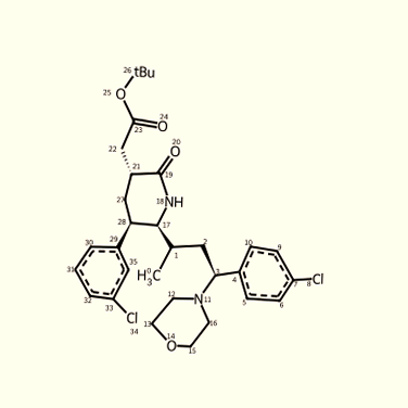 CC(C[C@@H](c1ccc(Cl)cc1)N1CCOCC1)[C@@H]1NC(=O)[C@@H](CC(=O)OC(C)(C)C)C[C@@H]1c1cccc(Cl)c1